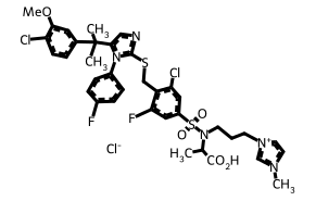 COc1cc(C(C)(C)c2cnc(SCc3c(F)cc(S(=O)(=O)N(CCC[n+]4ccn(C)c4)C(C)C(=O)O)cc3Cl)n2-c2ccc(F)cc2)ccc1Cl.[Cl-]